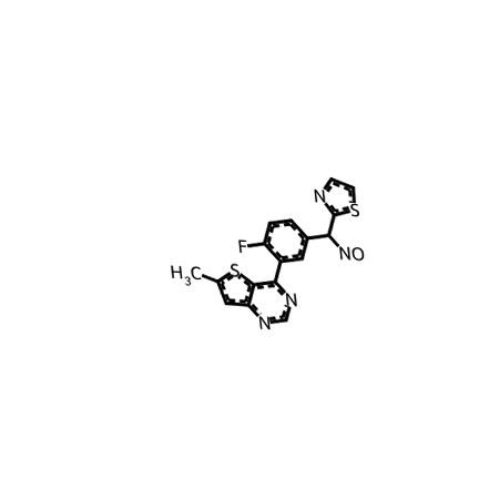 Cc1cc2ncnc(-c3cc(C(N=O)c4nccs4)ccc3F)c2s1